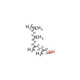 CC(C)=CCC/C(C)=C/CCC(C)=CCC/C(C)=C/CO